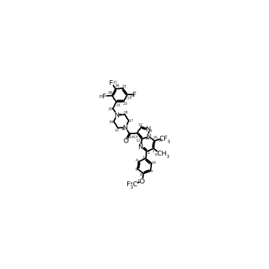 Cc1c(-c2ccc(OC(F)(F)F)cc2)nc2c(C(=O)N3CCN(Cc4cc(F)cc(F)c4F)CC3)cnn2c1C(F)(F)F